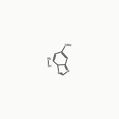 COC1=CC2=NC=NC2C=C1.[SH][Pb]